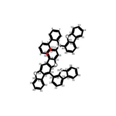 c1ccc(-c2ccccc2N(c2ccc3c(c2)oc2c(-c4cccc5c4sc4ccccc45)c4c(cc23)oc2ccccc24)c2cccc3c2oc2ccccc23)cc1